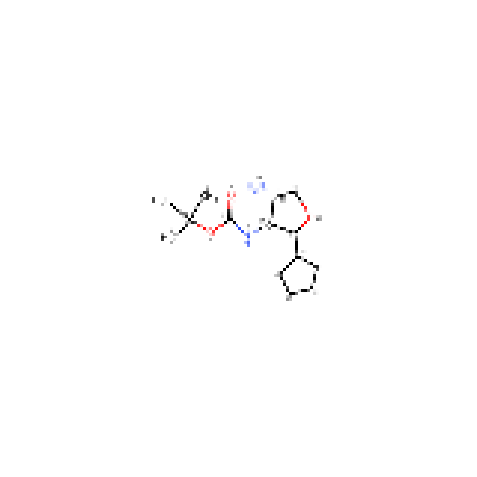 CC(C)(C)OC(=O)N[C@H]1C(C2CCCC2)OC[C@H]1N